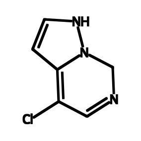 ClC1=C2C=CNN2CN=C1